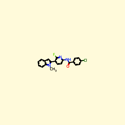 Cn1c(-c2ccc(NC(=O)c3ccc(Cl)cc3)nc2F)cc2ccccc21